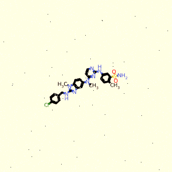 Cc1ccc(Nc2nccc(N(C)c3ccc4c(c3)nc(NCc3ccc(Cl)cc3)n4C)n2)cc1S(N)(=O)=O